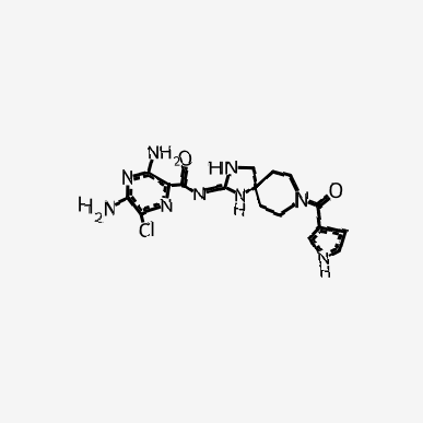 Nc1nc(N)c(C(=O)/N=C2\NCC3(CCN(C(=O)c4cc[nH]c4)CC3)N2)nc1Cl